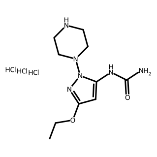 CCOc1cc(NC(N)=O)n(N2CCNCC2)n1.Cl.Cl.Cl